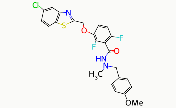 COc1ccc(CN(C)NC(=O)c2c(F)ccc(OCc3nc4cc(Cl)ccc4s3)c2F)cc1